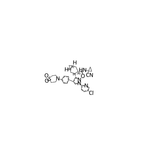 N#CC1(NC(=O)[C@@H]2C[C@@H]3C[C@@H]3C[C@H]2c2nn(-c3ccc(Cl)cn3)cc2-c2ccc(N3CCS(=O)(=O)CC3)cc2)CC1